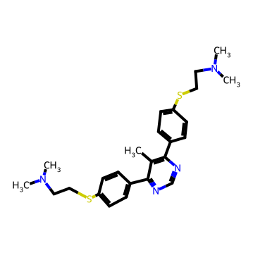 Cc1c(-c2ccc(SCCN(C)C)cc2)ncnc1-c1ccc(SCCN(C)C)cc1